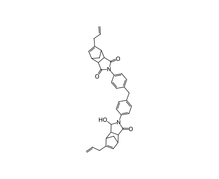 C=CCC1=CC2CC1C1C(=O)N(c3ccc(Cc4ccc(N5C(=O)C6C7C=C(CC=C)C(C7)C6C5O)cc4)cc3)C(=O)C21